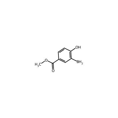 Bc1cc(C(=O)OC)ccc1O